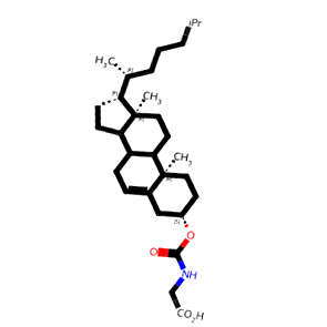 CC(C)CCC[C@@H](C)[C@H]1CCC2C3CC=C4C[C@@H](OC(=O)NCC(=O)O)CC[C@]4(C)C3CC[C@@]21C